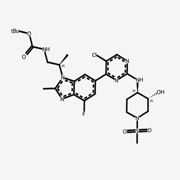 Cc1nc2c(F)cc(-c3nc(N[C@@H]4CCN(S(C)(=O)=O)C[C@H]4O)ncc3Cl)cc2n1[C@H](C)CNC(=O)OC(C)(C)C